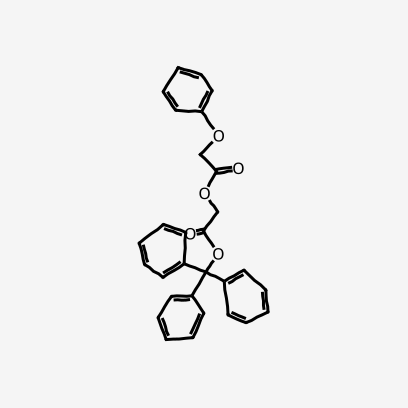 O=C(COc1ccccc1)OCC(=O)OC(c1ccccc1)(c1ccccc1)c1ccccc1